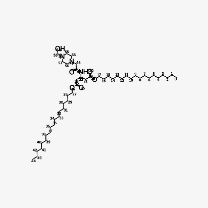 CCCCCCCCCCCCCCCCCCOC(=O)CC(CC(=O)OCCCCCCCCCCCCCCCCCC)NC(=O)CN1CCN(CO)CC1